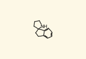 c1ccc2c(c1)CCC21CCCN1